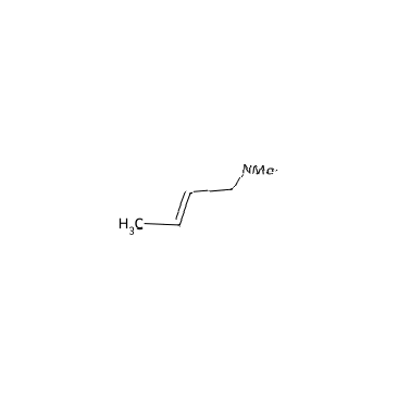 CC=CC[N]C